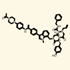 C=CCN1CC(=O)N2[C@@H](Cc3ccc(O)cc3)C(=O)N(Cc3cccc4c(-c5ccc(C(=C)Nc6ccc(N7CCN(C(C)=O)CC7)cc6)cc5)cn(C)c34)C[C@@H]2N1C(=O)NCc1ccccc1